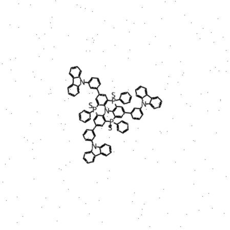 S=P1(c2ccccc2)c2cc(-c3cccc(-n4c5ccccc5c5ccccc54)c3)cc3c2N2c4c1cc(-c1cccc(-n5c6ccccc6c6ccccc65)c1)cc4P(=S)(c1ccccc1)c1cc(-c4cccc(-n5c6ccccc6c6ccccc65)c4)cc(c12)P3(=S)c1ccccc1